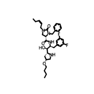 CC/C=C\CN1C[C@@H](C(=O)N[C@@H](Cc2cc(F)cc(F)c2)[C@H](O)[C@H]2C[C@@H](OCCCC)CN2)N(Cc2ccccc2)C1=O